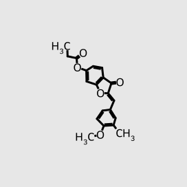 CCC(=O)Oc1ccc2c(c1)OC(=Cc1ccc(OC)c(C)c1)C2=O